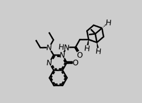 CCN(CC)c1nc2ccccc2c(=O)n1NC(=O)C[C@@H]1CC[C@H]2C[C@H]1C2(C)C